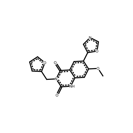 COc1cc2[nH]c(=O)n(Cc3ccco3)c(=O)c2cc1-c1cnco1